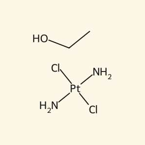 CCO.[NH2][Pt]([NH2])([Cl])[Cl]